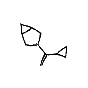 C=C(C1CC1)N1CC2CC2C1